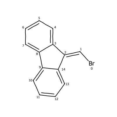 BrC=C1c2ccccc2-c2ccccc21